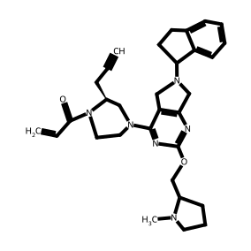 C#CC[C@H]1CN(c2nc(OCC3CCCN3C)nc3c2CN(C2CCc4ccccc42)C3)CCN1C(=O)C=C